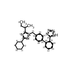 CCC(C)c1nc(C2CCCCC2)nn1Cc1ccc(-c2ccccc2-c2nnn[nH]2)cc1